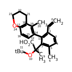 C=Cc1ccc(C)c(C(C)(OC(C)(C)C)C(=O)O)c1-c1ccc2c(c1C)CCCO2